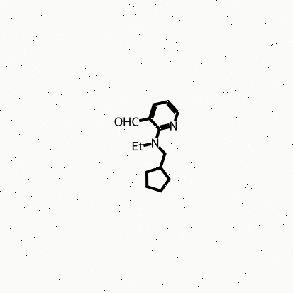 CCN(CC1CCCC1)c1ncccc1C=O